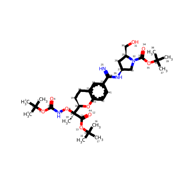 CC(C)(C)OC(=O)NO[C@](C)(C(=O)OC(C)(C)C)[C@H]1CCc2cc(C(=N)N[C@H]3C[C@@H](CO)N(C(=O)OC(C)(C)C)C3)ccc2O1